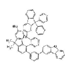 CC(C)(C)c1ccc2c(c1)C(C)(C)c1ccc(-c3cccc(-c4ccc5oc6ccccc6c5c4)c3)c(-c3ccccc3Nc3ccc4c(c3)C(c3ccccc3)(c3ccccc3)c3ccccc3-4)c1-2